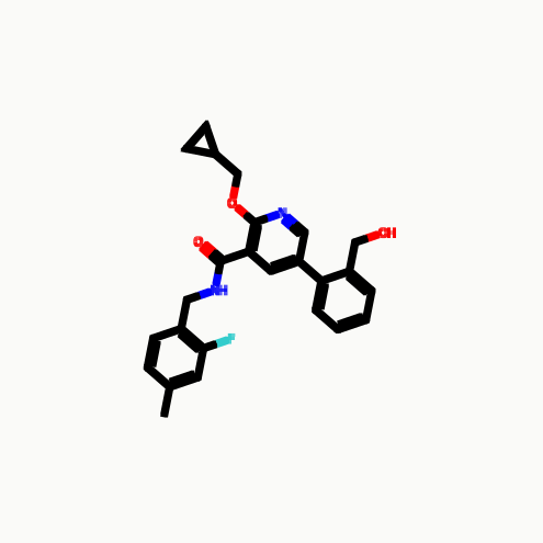 Cc1ccc(CNC(=O)c2cc(-c3ccccc3CO)cnc2OCC2CC2)c(F)c1